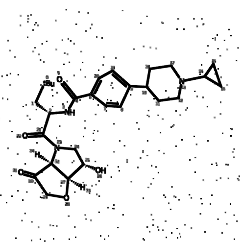 CC(C)(C)C[C@H](NC(=O)c1ccc(C2CCN(C3CC3)CC2)cc1)C(=O)N1C[C@H](O)[C@H]2OCC(=O)[C@H]21